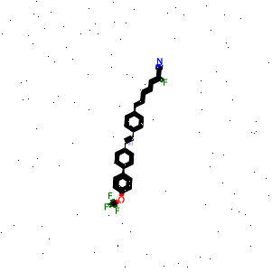 N#CC(F)=CC=CCC[C@H]1CC[C@H](/C=C/[C@H]2CC[C@H](c3ccc(OC(F)(F)F)cc3)CC2)CC1